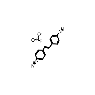 N#[N+]c1ccc(C=Cc2ccc([N+]#N)cc2)cc1.[O-]B([O-])F